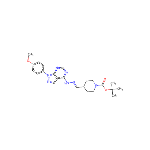 COc1ccc(-n2ncc3c(NN=CC4CCN(C(=O)OC(C)(C)C)CC4)ncnc32)cc1